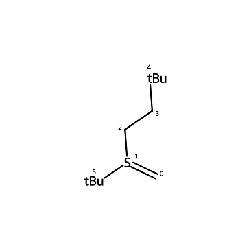 C=S(CCC(C)(C)C)C(C)(C)C